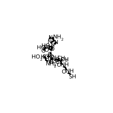 CC(C)(COP(=O)(O)OP(=O)(O)OC[C@H]1O[C@@H](n2cnc3c(N)ncnc32)[C@H](O)[C@@H]1OP(=O)(O)O)C(O)C(=O)NCCC(=O)NCCS.NCCCC(=O)O